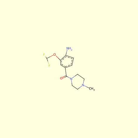 CN1CCN(C(=O)c2ccc(N)c(OC(F)F)c2)CC1